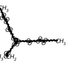 C=C(C)C(=O)OCCCCCCOC(=O)c1cc(OCCCCCCOC(=O)CCCCCOC(=O)CCC(=O)OCCCCCC)ccc1OCCCCCCOC(=O)CCCCCOC(=O)CCC(=O)OCCCCCCCCC